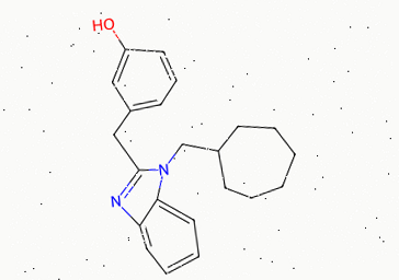 Oc1cccc(Cc2nc3ccccc3n2CC2CCCCCC2)c1